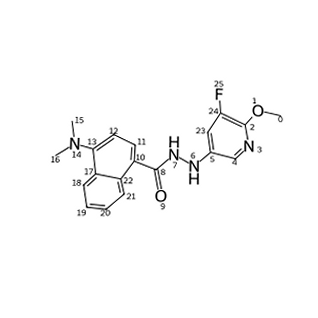 COc1ncc(NNC(=O)c2ccc(N(C)C)c3ccccc23)cc1F